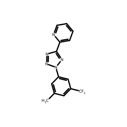 Cc1cc(-n2nnc(-c3ccccn3)n2)cc(C(F)(F)F)c1